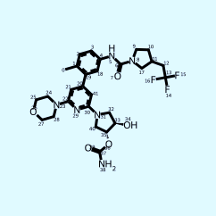 Cc1ccc(NC(=O)N2CCC(CC(F)(F)F)C2)cc1-c1cc(N2CCOCC2)nc(N2C[C@@H](O)[C@H](OC(N)=O)C2)c1